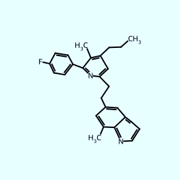 CCCc1cc(CCc2cc(C)c3ncccc3c2)nc(-c2ccc(F)cc2)c1C